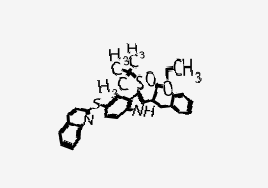 CCOC(=O)C(Cc1ccccc1)c1[nH]c2ccc(Sc3ccc4ccccc4n3)cc2c1SC(C)(C)C